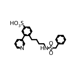 O=S(=O)(Cc1ccccc1)NCCCCc1ccc(S(=O)(=O)O)cc1-c1cccnc1